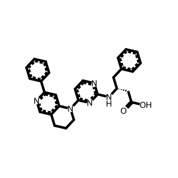 O=C(O)C[C@@H](Cc1ccccc1)Nc1nccc(N2CCCc3cnc(-c4ccccc4)cc32)n1